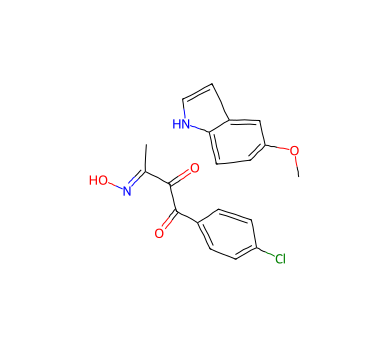 CC(=NO)C(=O)C(=O)c1ccc(Cl)cc1.COc1ccc2[nH]ccc2c1